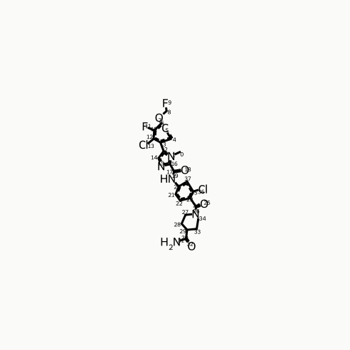 Cn1c(-c2ccc(OCF)c(F)c2Cl)cnc1C(=O)Nc1ccc(C(=O)N2CCC(C(N)=O)CC2)c(Cl)c1